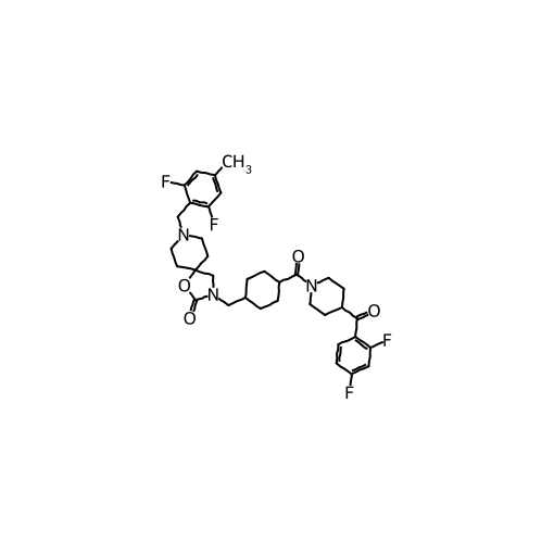 Cc1cc(F)c(CN2CCC3(CC2)CN(CC2CCC(C(=O)N4CCC(C(=O)c5ccc(F)cc5F)CC4)CC2)C(=O)O3)c(F)c1